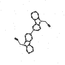 C#CCn1c2ccccc2c2cc(-c3ccc4c(c3)c3ccccc3n4CC#C)ccc21